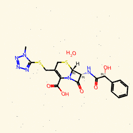 Cn1nnnc1SCC1=C(C(=O)O)N2C(=O)[C@@H](NC(=O)[C@H](O)c3ccccc3)[C@H]2SC1.O